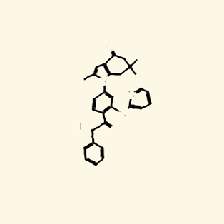 Cc1cc2c(n1-c1ccc(C(=O)C(O)c3ccccc3)c(Nc3ccccn3)c1)CC(C)(C)CC2=O